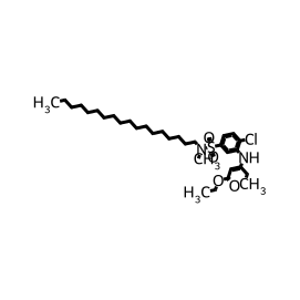 CCCCCCCCCCCCCCCCCCN(C)S(=O)(=O)c1ccc(Cl)c(NC(=CC(=O)OCC)CC)c1